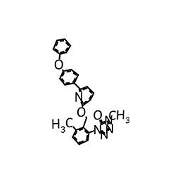 Cc1cccc(-n2nnn(C)c2=O)c1COc1cccc(-c2ccc(Oc3ccccc3)cc2)n1